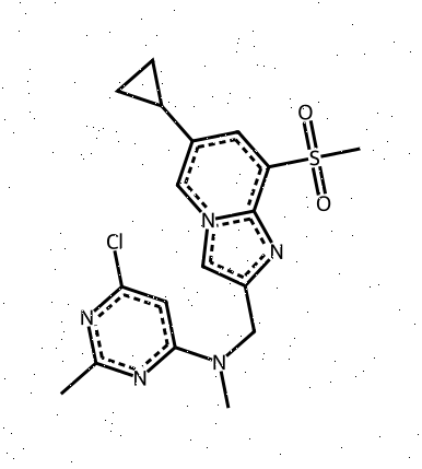 Cc1nc(Cl)cc(N(C)Cc2cn3cc(C4CC4)cc(S(C)(=O)=O)c3n2)n1